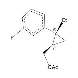 CC[C@@]1(c2cccc(F)c2)C[C@H]1COC(C)=O